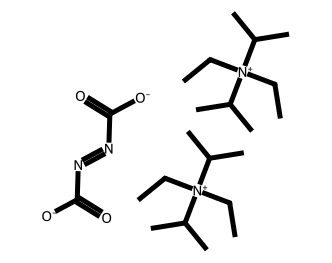 CC[N+](CC)(C(C)C)C(C)C.CC[N+](CC)(C(C)C)C(C)C.O=C([O-])N=NC(=O)[O-]